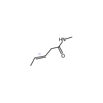 C/C=C/CC(=O)NC